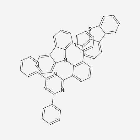 c1ccc(-c2nc(-c3ccccc3)nc(-c3cccc(-c4ccccc4)c3-n3c4ccccc4c4cccc(-c5cccc6c5sc5ccccc56)c43)n2)cc1